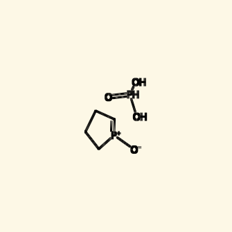 O=[PH](O)O.[O-][P+]1=CCCC1